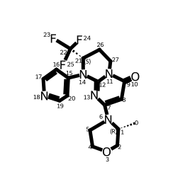 C[C@@H]1COCCN1c1cc(=O)n2c(n1)N(c1ccncc1)[C@H](C(F)(F)F)CC2